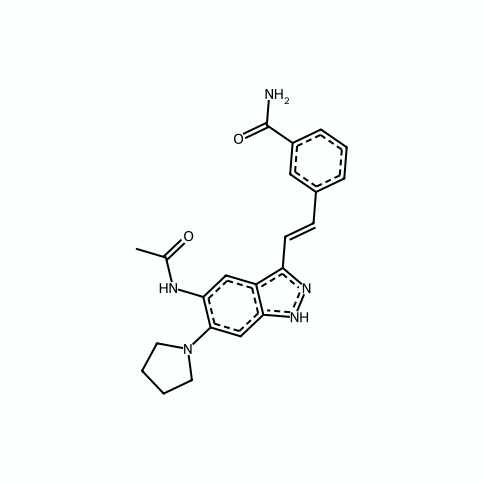 CC(=O)Nc1cc2c(C=Cc3cccc(C(N)=O)c3)n[nH]c2cc1N1CCCC1